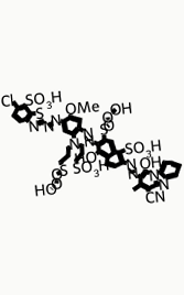 COc1cc(N=Nc2c(SOOO)cc3c(S(=O)(=O)O)c(N=Nc4c(C)c(C#N)c5nc6ccccc6n5c4O)ccc3c2O)c(N(CCCSOOO)CCCS(=O)(=O)O)cc1N=Nc1nc2ccc(Cl)c(S(=O)(=O)O)c2s1